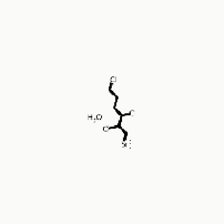 ClCCCC(Cl)C(Cl)[CH2][Sn].O